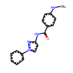 CCCCNc1ccc(C(=O)Nc2ccn(-c3ccccc3)n2)cc1